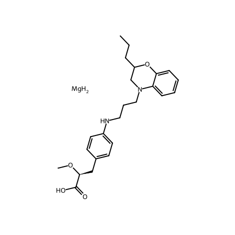 CCCC1CN(CCCNc2ccc(C[C@H](OC)C(=O)O)cc2)c2ccccc2O1.[MgH2]